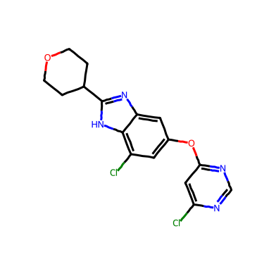 Clc1cc(Oc2cc(Cl)c3[nH]c(C4CCOCC4)nc3c2)ncn1